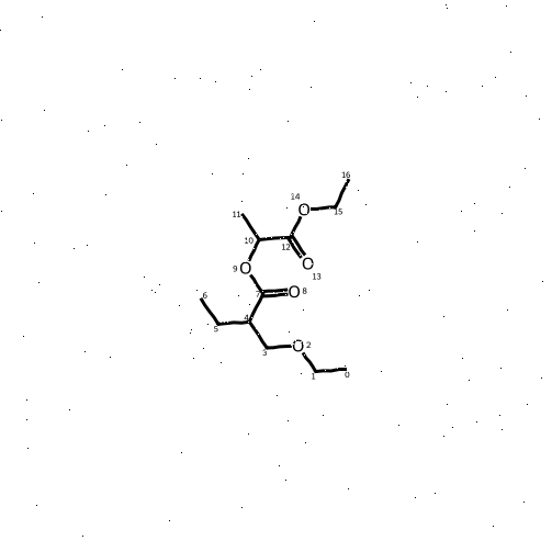 CCOCC(CC)C(=O)OC(C)C(=O)OCC